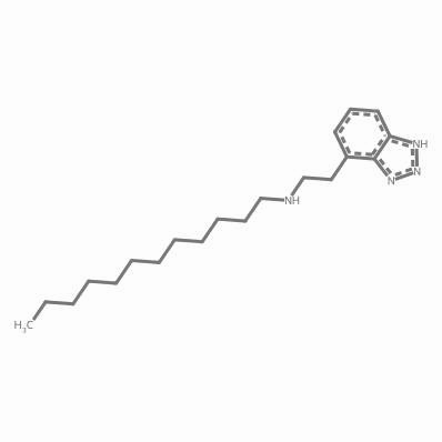 CCCCCCCCCCCCNCCc1cccc2[nH]nnc12